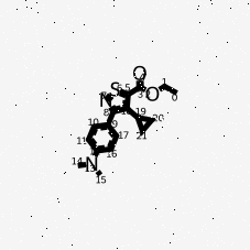 CCOC(=O)c1snc(-c2ccc(N(C)C)cc2)c1C1CC1